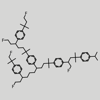 CC(C)c1ccc(C(C)(C)CC(CF)c2ccc(C(C)(C)CCC(CCCC(CCF)c3ccc(C(C)(C)CF)cc3)c3ccc(C(C)(C)CCC(CCF)c4ccc(C(C)(C)CCF)cc4)cc3)cc2)cc1